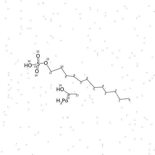 CCCCCCCCCCCCOS(=O)(=O)O.CCO.[PoH2]